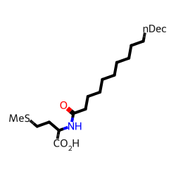 CCCCCCCCCCCCCCCCCCCC(=O)NC(CCSC)C(=O)O